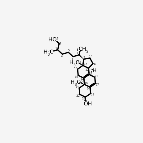 CC(CO)CCCC(C)[C@H]1CC[C@H]2C3=C(CC[C@]12C)[C@@]1(C)CC[C@H](O)CC1=CC3